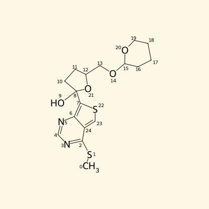 CSc1ncnc2c(C3(O)CCC(COC4CCCCO4)O3)scc12